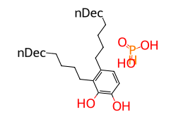 CCCCCCCCCCCCCCc1ccc(O)c(O)c1CCCCCCCCCCCCCC.O=[PH](O)O